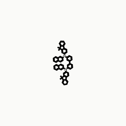 CC1(C)C2=CCCC=C2c2ccc(N(c3cccc(-c4cccc(N(c5ccc6c(c5)C(C)(C)c5ccccc5-6)c5ccc6ccccc6c5)c4)c3)c3ccc4ccccc4c3)cc21